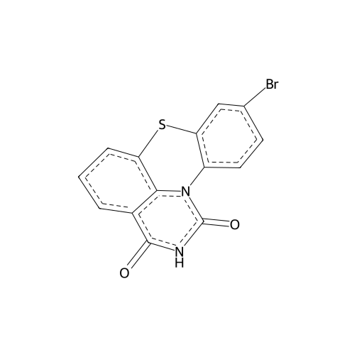 O=c1[nH]c(=O)n2c3c(cccc13)Sc1cc(Br)ccc1-2